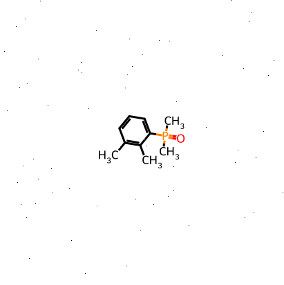 Cc1cccc(P(C)(C)=O)c1C